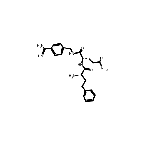 N=C(N)c1ccc(CNC(=O)[C@H](CCC(N)O)NC(=O)[C@H](N)CCc2ccccc2)cc1